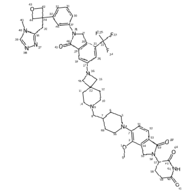 COc1c(N2CCC(CN3CCC4(CC3)CN(c3cc5c(c(C(F)(F)F)c3)CN(c3cccc(C6(Cc7nncn7C)COC6)c3)C5=O)C4)CC2)ccc2c1CN(C1CCC(=O)NC1=O)C2=O